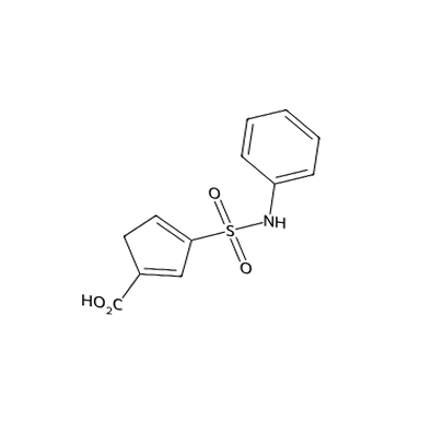 O=C(O)C1=CC(S(=O)(=O)Nc2ccccc2)=CC1